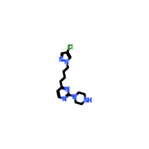 Clc1cnn(CCCCc2ccnc(N3CCNCC3)n2)c1